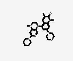 Cc1cc2c(N3CCN(C)c4cc(N5CCCCC5)ncc43)cc(N3CCOCC3)cc2n(C)c1=O